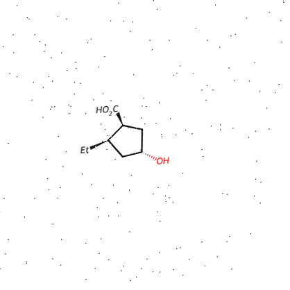 CC[C@@H]1C[C@@H](O)C[C@@H]1C(=O)O